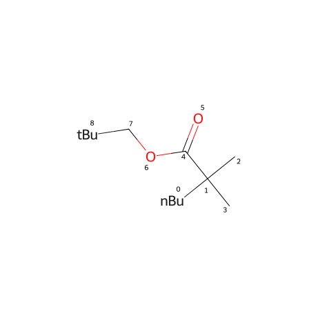 CCCCC(C)(C)C(=O)OCC(C)(C)C